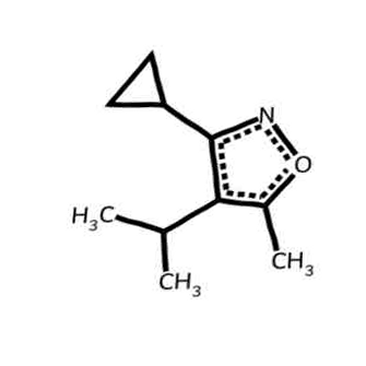 Cc1onc(C2CC2)c1C(C)C